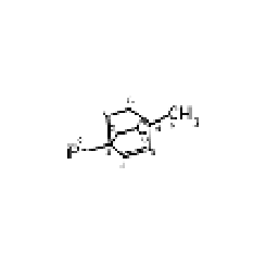 CC(C)C12C=CC(C)(CC1)CC2